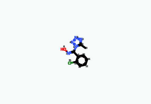 Cc1nnnn1/C(=N\O)c1ccccc1Cl